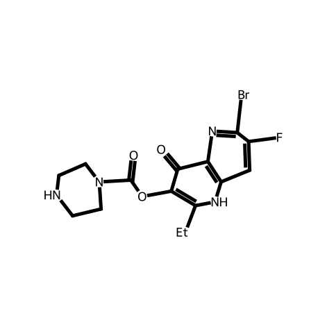 CCc1[nH]c2cc(F)c(Br)nc2c(=O)c1OC(=O)N1CCNCC1